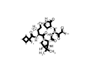 CC[C@@H](C)[C@H](NC(=O)C1(F)CCC1)C(=O)N1C[C@H]2[C@@H]([C@H]1C(=O)NN(C[C@@H]1CCNC1=O)C(=O)[C@H](F)Cl)C2(C)C